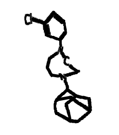 Clc1cccc(N2CCN(C3C4CC5CC(C4)CC3C5)CC2)c1